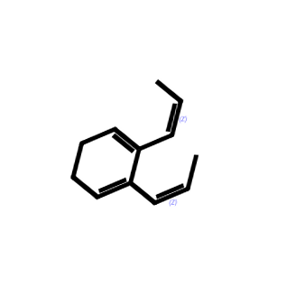 C/C=C\C1=CCCC=C1/C=C\C